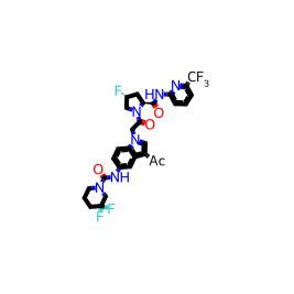 CC(=O)c1cn(CC(=O)N2C[C@H](F)C[C@H]2C(=O)Nc2cccc(C(F)(F)F)n2)c2ccc(NC(=O)N3CCCC(F)(F)C3)cc12